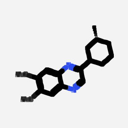 COc1cc2ncc([C]3CCC[C@@H](C)C3)nc2cc1OC